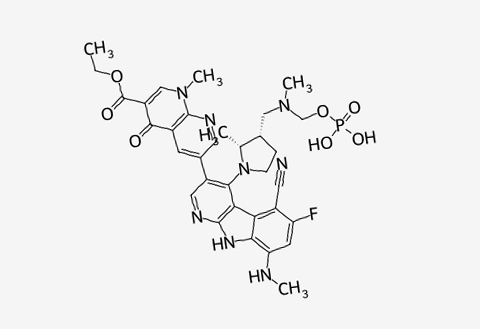 CCOC(=O)c1cn(C)c2ncc(-c3cnc4[nH]c5c(NC)cc(F)c(C#N)c5c4c3N3CC[C@@H](CN(C)COP(=O)(O)O)[C@H]3C)cc2c1=O